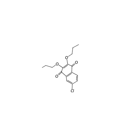 CCCOC1=C(OCCC)C(=O)c2cc(Cl)ccc2C1=O